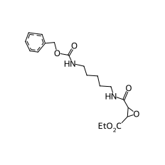 CCOC(=O)C1OC1C(=O)NCCCCCNC(=O)OCc1ccccc1